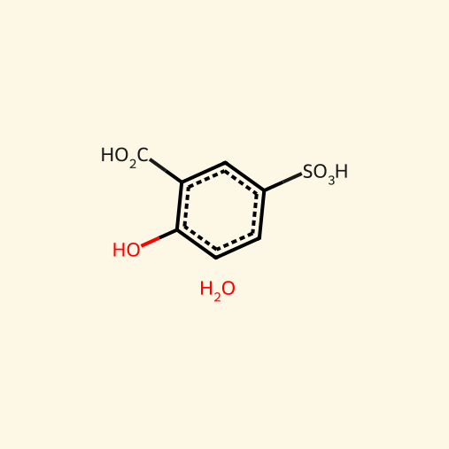 O.O=C(O)c1cc(S(=O)(=O)O)ccc1O